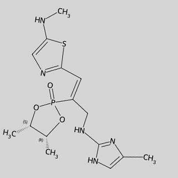 CNc1cnc(C=C(CNc2nc(C)c[nH]2)P2(=O)O[C@@H](C)[C@@H](C)O2)s1